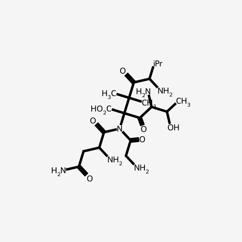 CC(C)C(N)C(=O)C(C)(C)C(C(=O)O)(C(=O)C(N)C(C)O)N(C(=O)CN)C(=O)C(N)CC(N)=O